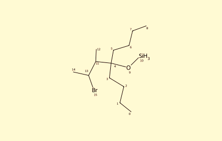 CCCCC(CCCC)(O[SiH3])C(C)C(C)Br